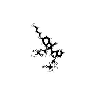 CC(C)(C)OC(=O)n1nc(-c2c(Br)c3ccc(OCCCBr)cc3n2C(=O)OC(C)(C)C)c2sccc21